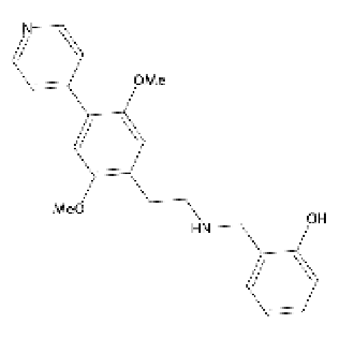 COc1cc(-c2ccncc2)c(OC)cc1CCNCc1ccccc1O